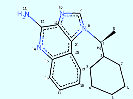 C[C@@H](C1CCCCC1)n1cnc2c(N)nc3ccccc3c21